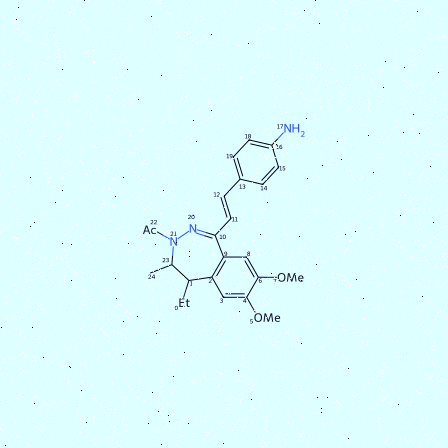 CCC1c2cc(OC)c(OC)cc2C(C=Cc2ccc(N)cc2)=NN(C(C)=O)C1C